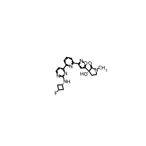 CN1CC[C@@](O)(c2cc(-c3cccc(-c4ccnc(N[C@H]5C[C@H](F)C5)n4)n3)no2)C1=O